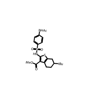 COC(=O)c1c(NS(=O)(=O)c2ccc(NC(C)=O)cc2)sc2c1CCC(C(C)(C)C)C2